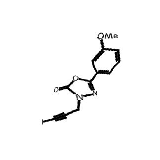 COc1cccc(-c2nn(CC#CI)c(=O)o2)c1